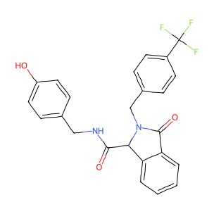 O=C(NCc1ccc(O)cc1)C1c2ccccc2C(=O)N1Cc1ccc(C(F)(F)F)cc1